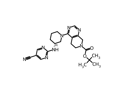 CC(C)(C)OC(=O)N1CCc2c(ncnc2N2CCC[C@@H](Nc3ncc(C#N)cn3)C2)C1